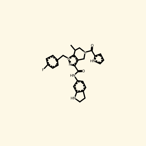 CC1CN(C(=O)c2ccc[nH]2)Cc2c(C(=O)Nc3ccc4c(c3)NCC4)nn(Cc3ccc(F)cc3)c21